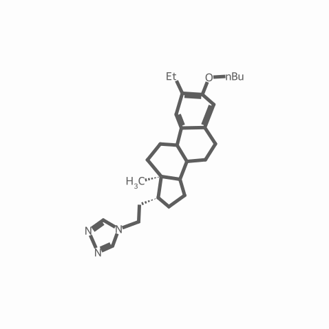 CCCCOc1cc2c(cc1CC)C1CC[C@@]3(C)C(CC[C@@H]3CCn3cnnc3)C1CC2